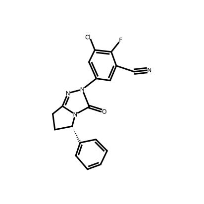 N#Cc1cc(-n2nc3n(c2=O)[C@H](c2ccccc2)CC3)cc(Cl)c1F